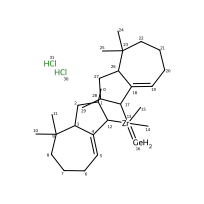 CC1CC2C(=CCCCC2(C)C)[CH]1[Zr]([CH3])([CH3])(=[GeH2])[CH]1C2=CCCCC(C)(C)C2CC1C.Cl.Cl